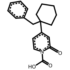 O=C(O)n1ccc(C2(Cc3ccccc3)CCCCC2)cc1=O